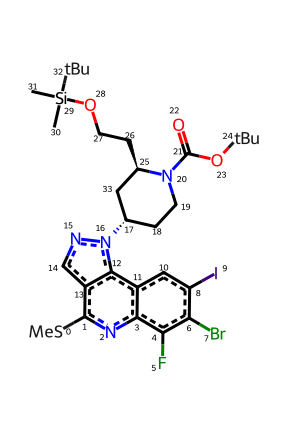 CSc1nc2c(F)c(Br)c(I)cc2c2c1cnn2[C@H]1CCN(C(=O)OC(C)(C)C)[C@H](CCO[Si](C)(C)C(C)(C)C)C1